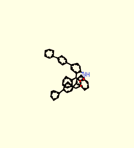 c1ccc(-c2ccc(-c3ccc4c(c3)C35c6ccccc6C(c6ccccc63)c3c(-c6ccc(-c7ccccc7)cc6)ccc(c35)N4)cc2)cc1